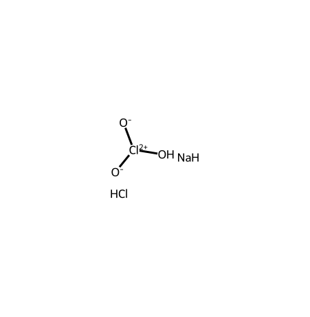 Cl.[NaH].[O-][Cl+2]([O-])O